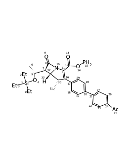 CC[Si](CC)(CC)O[C@H](C)[C@H]1C(=O)N2C(C(=O)OP)=C(c3ccc(-c4ccc(C(C)=O)cc4)cc3)[C@H](C)[C@H]12